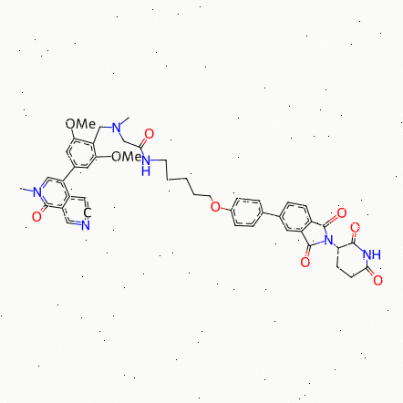 COc1cc(-c2cn(C)c(=O)c3cnccc23)cc(OC)c1CN(C)CC(=O)NCCCCCOc1ccc(-c2ccc3c(c2)C(=O)N(C2CCC(=O)NC2=O)C3=O)cc1